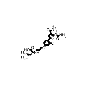 CC(C)C[C@H](NCCCOc1ccc(-c2cc(C(N)=O)c(NC(N)=O)s2)c(Cl)c1)C(=O)O